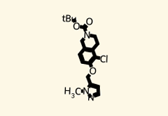 Cn1nccc1COc1ccc2c(c1Cl)CCN(C(=O)OC(C)(C)C)C2